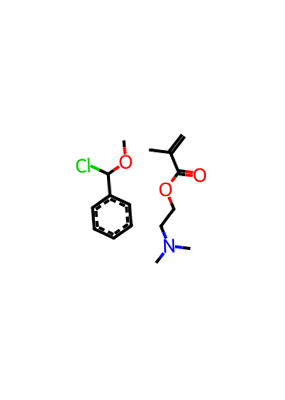 C=C(C)C(=O)OCCN(C)C.COC(Cl)c1ccccc1